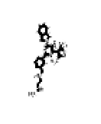 CNCCNCc1cccc(-c2nc(-c3c(C)noc3C)c(C)c(N3Cc4ccccc4C3)n2)c1